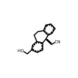 N#C/C=C1\c2ccccc2CCc2cc(CO)ccc21